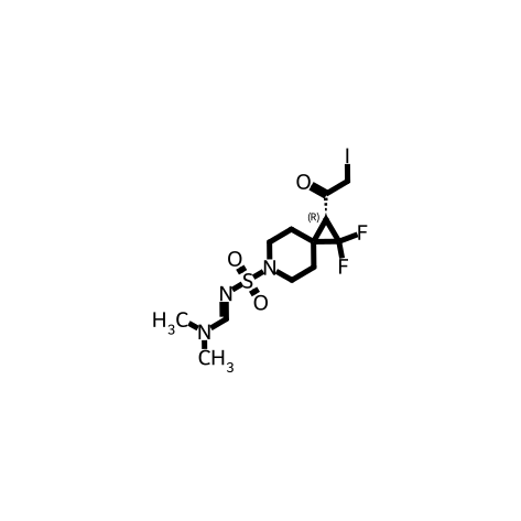 CN(C)C=NS(=O)(=O)N1CCC2(CC1)[C@H](C(=O)CI)C2(F)F